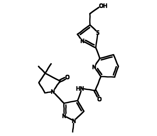 Cn1cc(NC(=O)c2cccc(-c3ncc(CO)s3)n2)c(N2CCC(C)(C)C2=O)n1